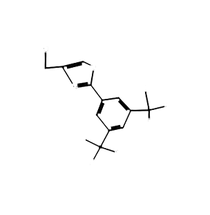 FC(F)(F)c1cc(-c2nc(CCl)co2)cc(C(F)(F)F)c1